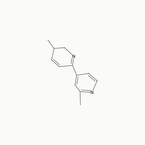 Cc1cc(C2=NCC(C)C=C2)ccn1